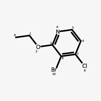 CCOc1nccc(Cl)c1Br